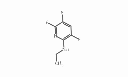 CCNc1nc(F)c(F)cc1F